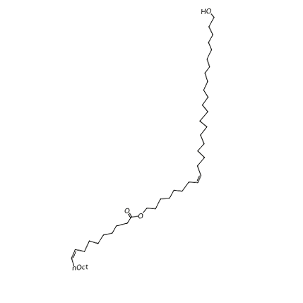 CCCCCCCC/C=C\CCCCCCCC(=O)OCCCCCCC/C=C\CCCCCCCCCCCCCCCCCCCCO